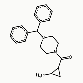 CC1CC1C(=O)N1CCN(C(c2ccccc2)c2ccccc2)CC1